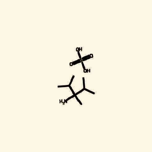 CC(C)C(C)(N)C(C)C.O=S(=O)(O)O